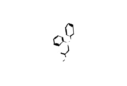 COC(=O)CN(Oc1ccccc1)c1ccccc1